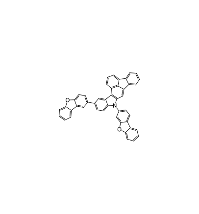 c1ccc2c(c1)-c1cccc3c1c-2cc1c3c2cc(-c3ccc4oc5ccccc5c4c3)ccc2n1-c1ccc2c(c1)oc1ccccc12